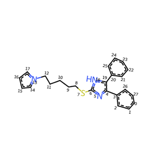 c1ccc(-c2nc(SCCCCCn3cccc3)[nH]c2-c2ccccc2)cc1